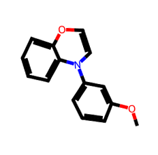 COc1cccc(N2C=COc3ccccc32)c1